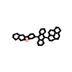 c1ccc2cc3c(cc2c1)oc1cc(-c2c4ccccc4c(-c4ccc5ccc6cccc7ccc4c5c67)c4ccccc24)ccc13